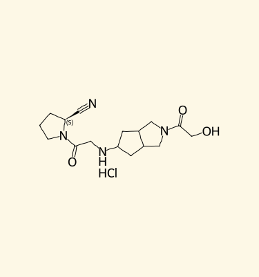 Cl.N#C[C@@H]1CCCN1C(=O)CNC1CC2CN(C(=O)CO)CC2C1